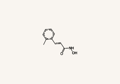 Cc1ccccc1C=CC(=O)NO